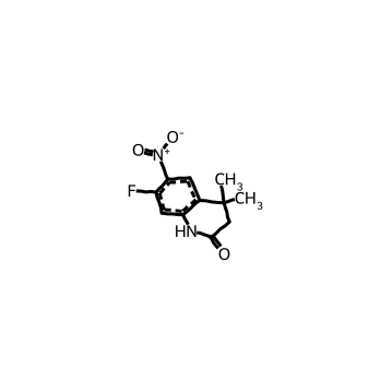 CC1(C)CC(=O)Nc2cc(F)c([N+](=O)[O-])cc21